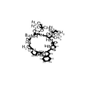 C=CC(C)(C)OC[C@@H]1NC(=O)C([C@@H](C)OC(C)(C)C=C)NC(=O)[C@@H]2CSC(N2)C(Cc2ccccc2)NC(=O)[C@@H]2CCCN2C(=O)[C@H](C)NC(=O)[C@H]([C@@H](C)CC)NC1=O